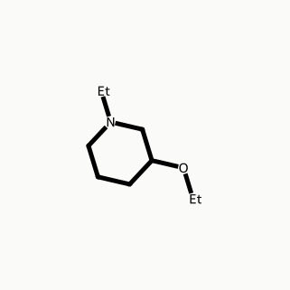 [CH2]COC1CCCN(CC)C1